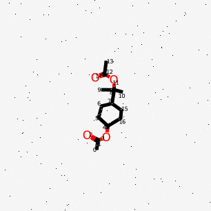 CC(=O)OC1CCC(C(C)(C)OC(C)=O)CC1